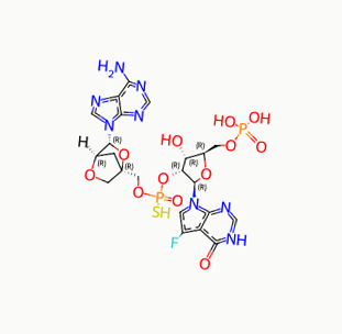 Nc1ncnc2c1ncn2[C@@H]1O[C@@]2(COP(=O)(S)O[C@@H]3[C@H](O)[C@@H](COP(=O)(O)O)O[C@H]3n3cc(F)c4c(=O)[nH]cnc43)CO[C@@H]1C2